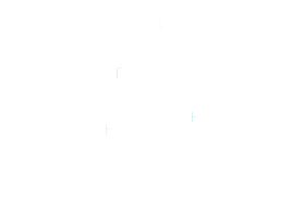 FCC(F)C(F)C(F)C(F)(F)F